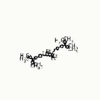 CCN(CC)c1cc(CCCCc2ccc(-c3ccc(N(c4ccc(C)c(C)c4)c4ccc(C)c(C)c4)cc3)cc2)c(N(CC)CC)cc1CCCCc1ccc(-c2ccc(N(c3ccc(C)c(C)c3)c3ccc(C)c(C)c3)cc2)cc1